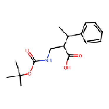 CC(c1ccccc1)C(CNC(=O)OC(C)(C)C)C(=O)O